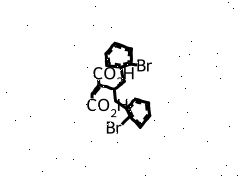 O=C(O)/C=C(/C(=O)O)C(Cc1ccccc1Br)Cc1ccccc1Br